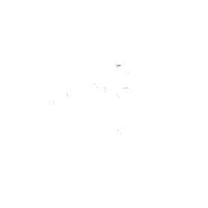 CC(=O)CCCNC(=O)[C@H]1[C@H](C(=O)NCCCCN2CCCC2)[C@H]2C=C[C@@H]1C21CC1